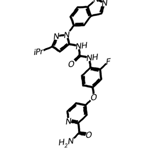 CC(C)c1cc(NC(=O)Nc2ccc(Oc3ccnc(C(N)=O)c3)cc2F)n(-c2ccc3[nH]ncc3c2)n1